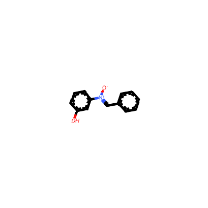 [O-][N+](=Cc1ccccc1)c1cccc(O)c1